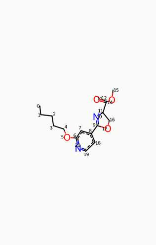 CCCCCOc1cc(C2=NC(C(=O)OC)CO2)ccn1